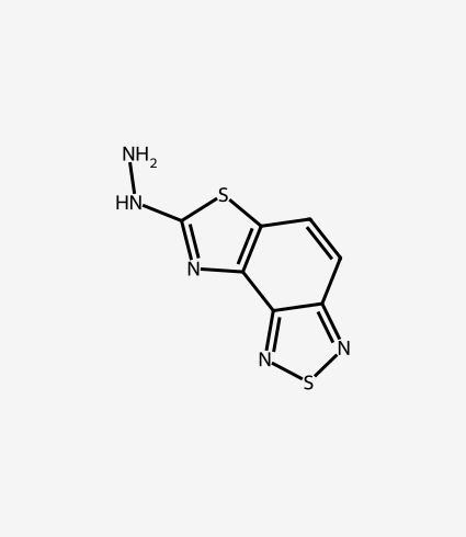 NNc1nc2c(ccc3nsnc32)s1